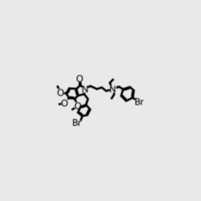 CC[N+](CC)(CCCCN1C(=O)c2cc(OC)c(OC)c(OC)c2C1Cc1ccc(Br)cc1)Cc1ccc(Br)cc1